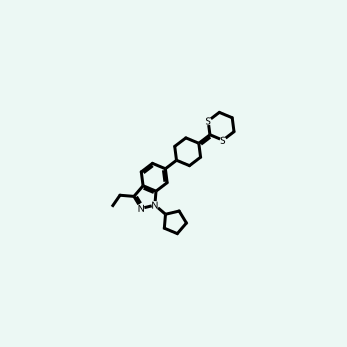 CCc1nn(C2CCCC2)c2cc(C3CCC(=C4SCCCS4)CC3)ccc12